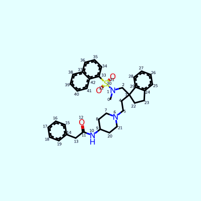 CN(CC1(CCN2CCC(NC(=O)Cc3ccccc3)CC2)CCc2ccccc21)S(=O)(=O)c1cccc2ccccc12